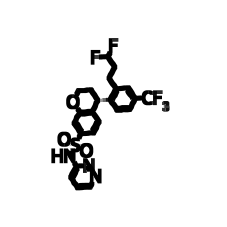 O=S(=O)(Nc1cccnn1)c1ccc2c(c1)OCC[C@@H]2c1ccc(C(F)(F)F)cc1CCC(F)F